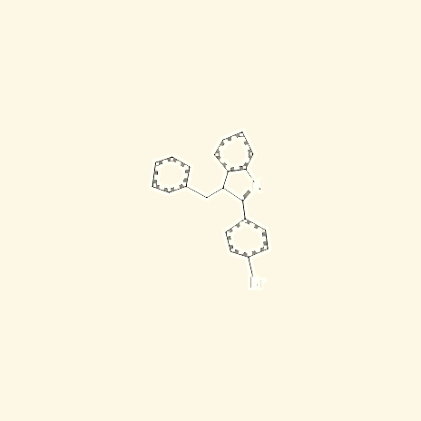 Brc1ccc(C2=Nc3ccccc3C2Cc2ccccc2)cc1